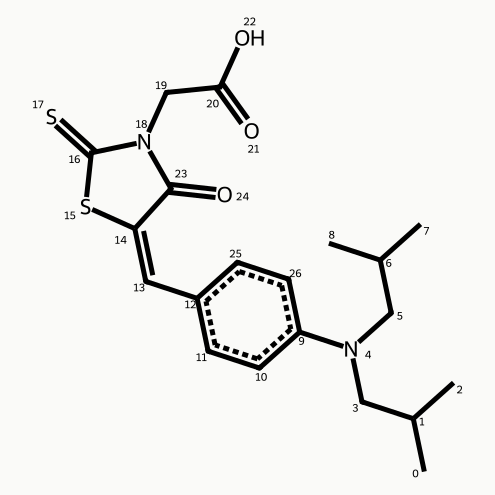 CC(C)CN(CC(C)C)c1ccc(C=C2SC(=S)N(CC(=O)O)C2=O)cc1